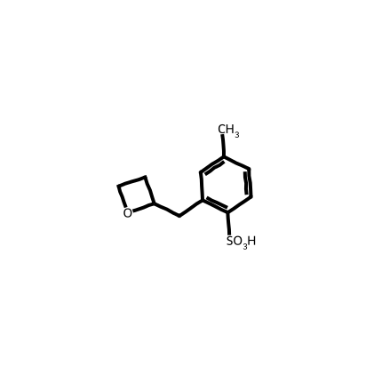 Cc1ccc(S(=O)(=O)O)c(CC2CCO2)c1